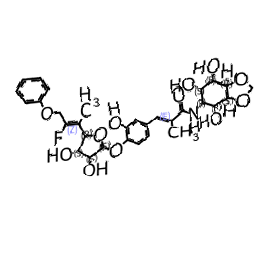 C/C(=C(/F)COc1ccccc1)[C@H]1O[C@@H](Oc2ccc(/C=C(\C)C(=O)N[C@@H]3[C@H](O)[C@@H](O)[C@H]4OCO[C@H]4[C@@H]3O)cc2O)[C@@H](O)[C@@H]1O